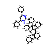 C1=C(c2ccccc2)N=C(c2cccc3c2-c2ccccc2C32c3ccccc3-c3c2cc2c4c(cccc34)-c3ccccc3-2)NC1c1ccccc1